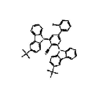 CC(C)(C)c1ccc2c(c1)c1ccccc1n2-c1cc(-c2ccccc2F)cc(-n2c3ccccc3c3cc(C(C)(C)C)ccc32)c1C#N